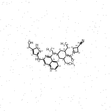 CCC1CC(N(C)c2nc(Nc3cc(CO)[nH]n3)cc3ncccc23)CC(CC)N1[S+]([O-])N1CC(C#N)C1